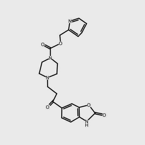 O=C(CCN1CCN(C(=O)OCc2ccccn2)CC1)c1ccc2[nH]c(=O)oc2c1